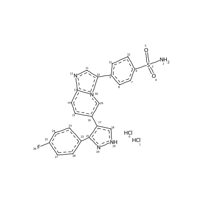 Cl.Cl.NS(=O)(=O)c1ccc(-c2cnc3ccc(-c4c[nH]nc4-c4ccc(F)cc4)cn23)cc1